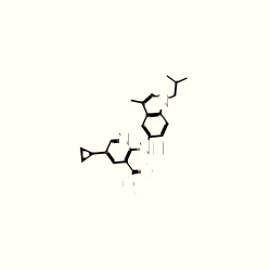 COC(=O)c1cc(C2CC2)cnc1Nc1ccc2c(c1)c(C)cn2CC(C)C